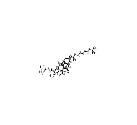 CC(C)CCC[C@@H](C)[C@H]1CC[C@H]2[C@@H]3C(=O)C=C4CC(OC(=O)CCCCCCCC(=O)O)CC[C@]4(C)[C@H]3CC[C@]12C